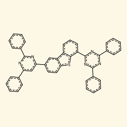 c1ccc(-c2cc(-c3ccc4sc5c(-c6nc(-c7ccccc7)nc(-c7ccccc7)n6)cccc5c4c3)nc(-c3ccccc3)n2)cc1